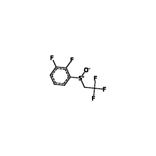 [O-][S+](CC(F)(F)F)c1cccc(F)c1F